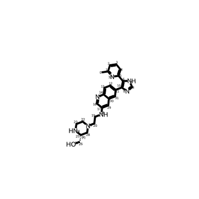 Cc1cccc(-c2[nH]cnc2-c2ccc3ncc(NCCN4CCN[C@@H](CO)C4)cc3c2)n1